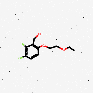 CCOCCOc1ccc(F)c(F)c1CO